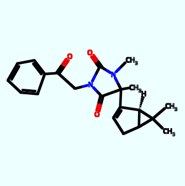 CN1C(=O)N(CC(=O)c2ccccc2)C(=O)C1(C)C1=CCC2[C@@H]1C2(C)C